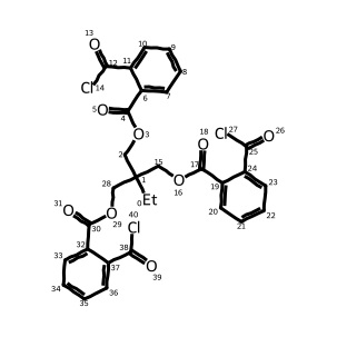 CCC(COC(=O)c1ccccc1C(=O)Cl)(COC(=O)c1ccccc1C(=O)Cl)COC(=O)c1ccccc1C(=O)Cl